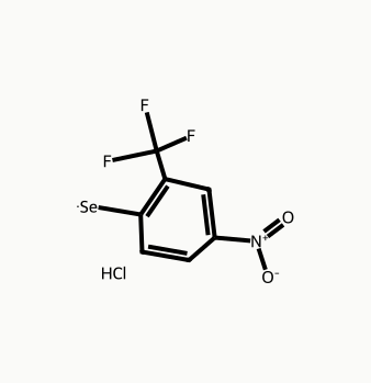 Cl.O=[N+]([O-])c1ccc([Se])c(C(F)(F)F)c1